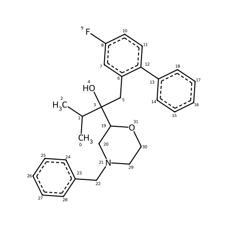 CC(C)C(O)(Cc1cc(F)ccc1-c1ccccc1)C1CN(Cc2ccccc2)CCO1